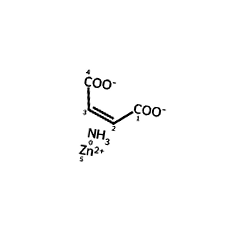 N.O=C([O-])/C=C\C(=O)[O-].[Zn+2]